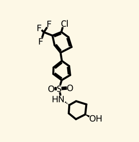 O=S(=O)(N[C@H]1CC[C@H](O)CC1)c1ccc(-c2ccc(Cl)c(C(F)(F)F)c2)cc1